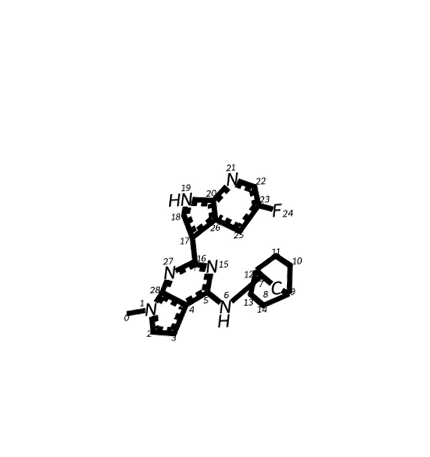 Cn1ccc2c(NC3CC4CCC3CC4)nc(-c3c[nH]c4ncc(F)cc34)nc21